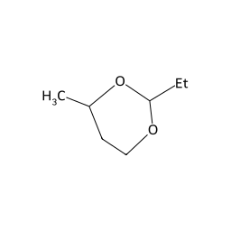 CCC1OCCC(C)O1